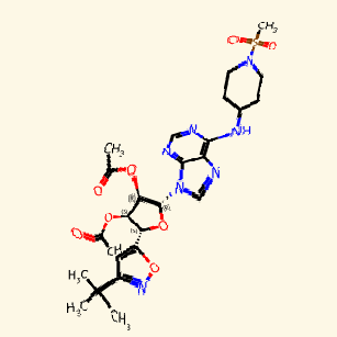 CC(=O)O[C@@H]1[C@H](OC(C)=O)[C@@H](c2cc(C(C)(C)C)no2)O[C@H]1n1cnc2c(NC3CCN(S(C)(=O)=O)CC3)ncnc21